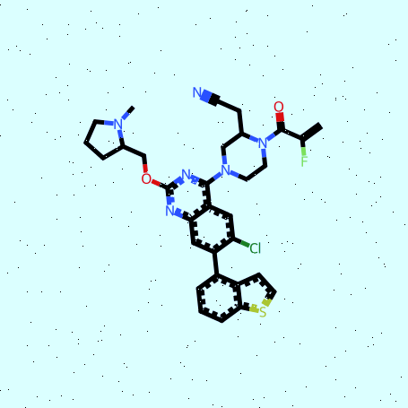 C=C(F)C(=O)N1CCN(c2nc(OCC3CCCN3C)nc3cc(-c4cccc5sccc45)c(Cl)cc23)CC1CC#N